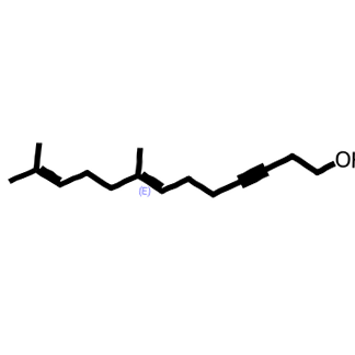 CC(C)=CCC/C(C)=C/CCC#CCCO